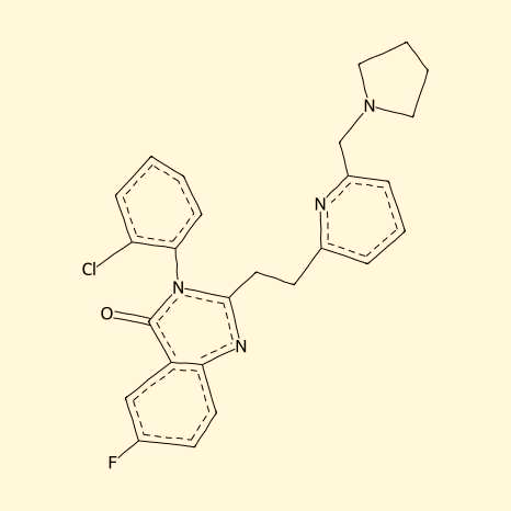 O=c1c2cc(F)ccc2nc(CCc2cccc(CN3CCCC3)n2)n1-c1ccccc1Cl